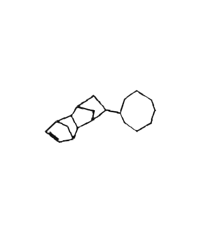 C1=CC2CC1C1C3CC(C4CCCCCCC4)C(C3)C21